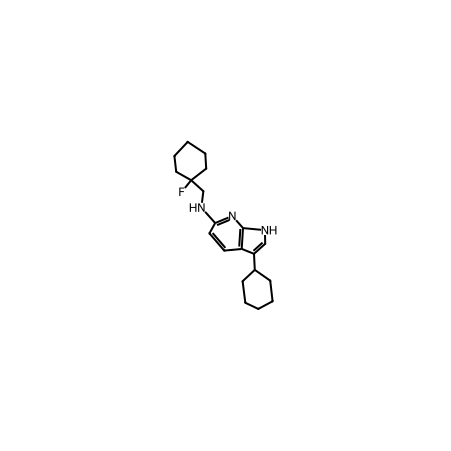 FC1(CNc2ccc3c(C4CCCCC4)c[nH]c3n2)CCCCC1